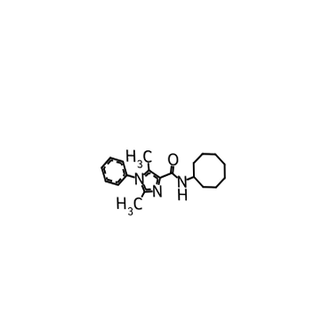 Cc1nc(C(=O)NC2CCCCCCC2)c(C)n1-c1ccccc1